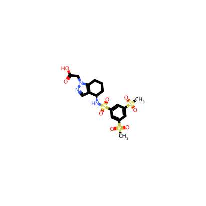 CS(=O)(=O)c1cc(S(C)(=O)=O)cc(S(=O)(=O)N[C@@H]2CCCc3c2cnn3CC(=O)O)c1